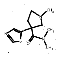 CN1CCC(C(=O)N(C)C)(c2cncs2)C1